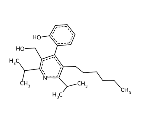 CCCCCCc1c(C(C)C)nc(C(C)C)c(CO)c1-c1ccccc1O